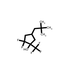 CC(C)(C)CC1CC(F)(F)C(O)(C(F)(F)F)C1